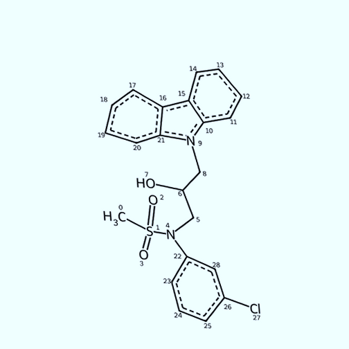 CS(=O)(=O)N(CC(O)Cn1c2ccccc2c2ccccc21)c1cccc(Cl)c1